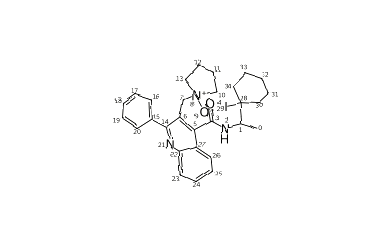 CC(NC(=O)c1c(C[N+]2([O-])CCCC2)c(-c2ccccc2)nc2ccccc12)C1(I)CCCCC1